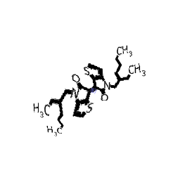 CCCCC(CC)CN1C(=O)/C(=C2/C(=O)N(CC(CC)CCCC)c3ccsc32)c2sccc21